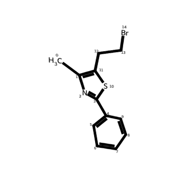 Cc1nc(-c2ccccc2)sc1CCBr